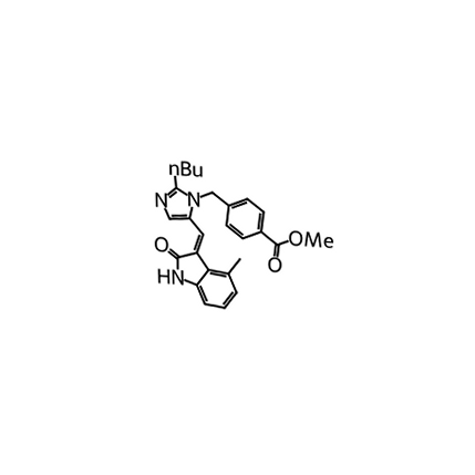 CCCCc1ncc(C=C2C(=O)Nc3cccc(C)c32)n1Cc1ccc(C(=O)OC)cc1